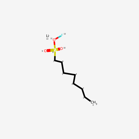 CCCCCCCCS(=O)(=O)OF.[Li]